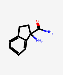 NC(=O)C1(N)CCc2ccccc21